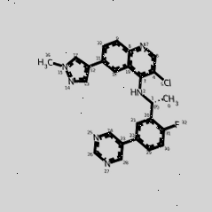 C[C@@H](Nc1c(Cl)cnc2ccc(-c3cnn(C)c3)cc12)c1cc(-c2cncnc2)ccc1F